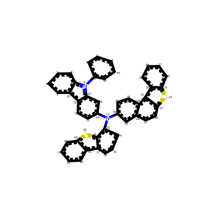 c1ccc(-n2c3ccccc3c3ccc(N(c4ccc5c(ccc6sc7ccccc7c65)c4)c4cccc5c4sc4ccccc45)cc32)cc1